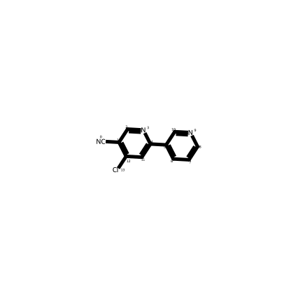 N#Cc1cnc(-c2cccnc2)cc1Cl